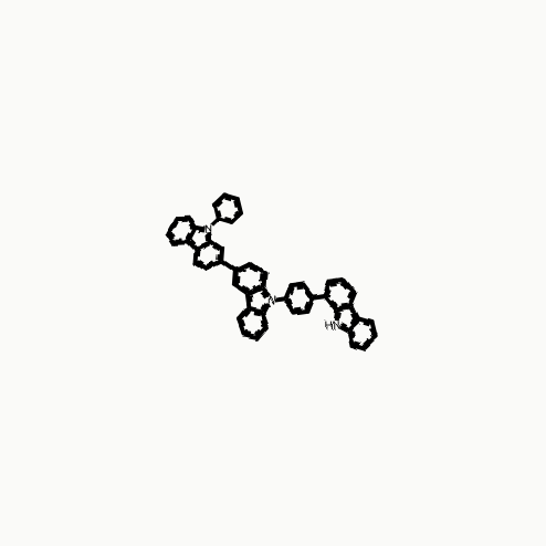 c1ccc(-n2c3ccccc3c3ccc(-c4ccc5c(c4)c4ccccc4n5-c4ccc(-c5cccc6c5[nH]c5ccccc56)cc4)cc32)cc1